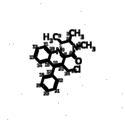 CCC(C)N(C)C(=O)c1nc2ccccc2c(-c2ccccc2)c1CCl